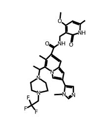 COc1cc(C)[nH]c(=O)c1CNC(=O)c1cc2cc(-c3cncn3C)cn2c(C(C)N2CCN(CC(F)(F)F)CC2)c1C